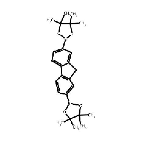 CC1(C)OB(c2ccc3c(c2)Cc2cc(B4OC(C)(C)C(C)(C)O4)ccc2-3)OC1(C)C